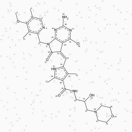 COc1c(C)cnc(CN2C(=O)C(=Cc3[nH]c(C)c(C(=O)NCC(O)CN4CCOCC4)c3C)c3c(Cl)nc(N)nc32)c1C